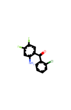 Nc1cc(F)c(F)cc1C(=O)c1ccccc1Cl